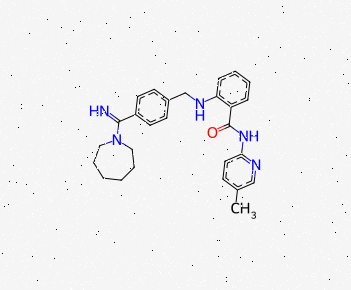 Cc1ccc(NC(=O)c2ccccc2NCc2ccc(C(=N)N3CCCCCC3)cc2)nc1